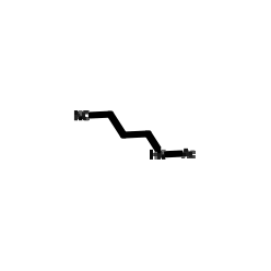 CC(=O)NCCCC#N